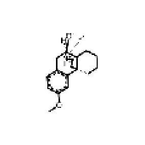 COc1ccc2c(c1)[C@]13CCCC[C@@H]1[C@H](C2)[N@@+](C)([O-])CC3